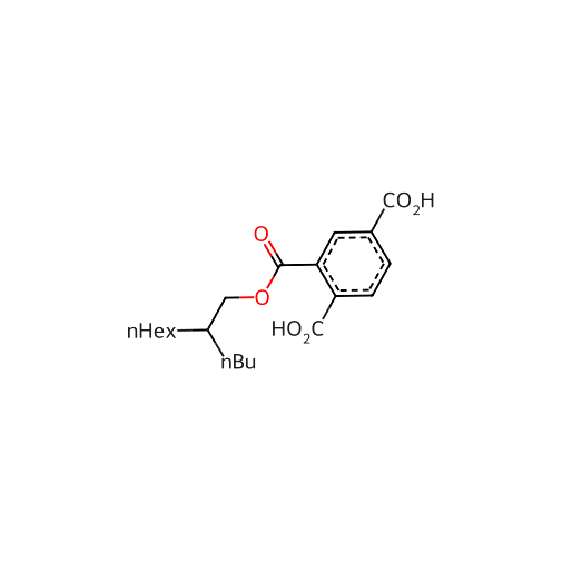 CCCCCCC(CCCC)COC(=O)c1cc(C(=O)O)ccc1C(=O)O